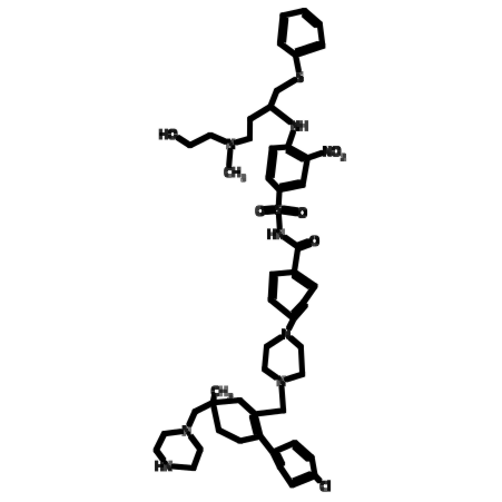 CN(CCO)CCC(CSc1ccccc1)Nc1ccc(S(=O)(=O)NC(=O)c2ccc(N3CCN(CC4=C(c5ccc(Cl)cc5)CCC(C)(CN5CCNCC5)C4)CC3)cc2)cc1[N+](=O)[O-]